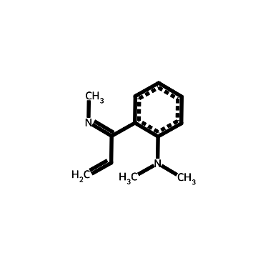 C=C/C(=N/C)c1ccccc1N(C)C